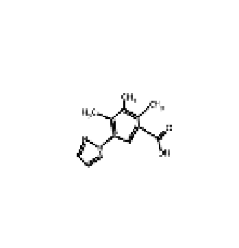 Cc1c(C(=O)O)cc(-n2cccn2)c(C)c1C